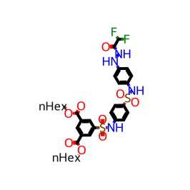 CCCCCCOC(=O)c1cc(C(=O)OCCCCCC)cc(S(=O)(=O)Nc2ccc(S(=O)(=O)Nc3ccc(NNC(=O)C(F)F)cc3)cc2)c1